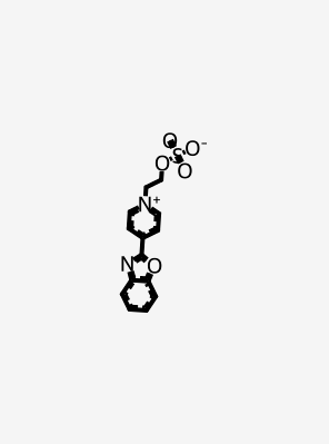 O=S(=O)([O-])OCC[n+]1ccc(-c2nc3ccccc3o2)cc1